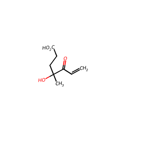 C=CC(=O)C(C)(O)CCC(=O)O